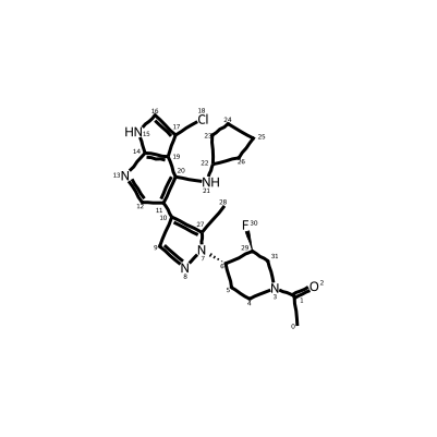 CC(=O)N1CC[C@H](n2ncc(-c3cnc4[nH]cc(Cl)c4c3NC3CCCC3)c2C)[C@@H](F)C1